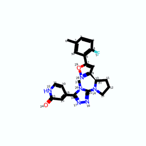 Cc1ccc(F)c(-c2cc([C@H]3CCCN3c3nnc(-c4cc[nH]c(=O)c4)n3C)no2)c1